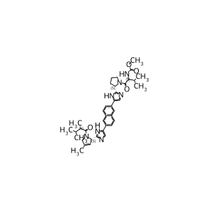 COC(=O)N[C@H](C(=O)N1CCC[C@H]1c1ncc(-c2ccc3cc(-c4cnc([C@@H]5C=C(C)CN5C(=O)[C@@H](C)C(C)C)[nH]4)ccc3c2)[nH]1)C(C)C